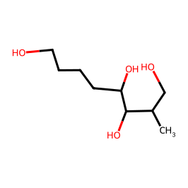 CC(CO)C(O)C(O)CCCCO